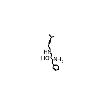 CC(C)C#CCCNC[C@@H](O)[C@@H](N)Cc1ccccc1